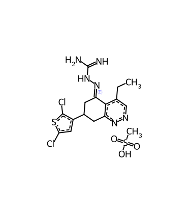 CCc1cnnc2c1/C(=N/NC(=N)N)CC(c1cc(Cl)sc1Cl)C2.CS(=O)(=O)O